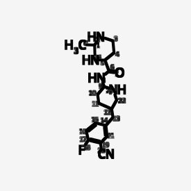 CC1NCCC(C(=O)NC2CCC(Cc3ccc(F)c(C#N)c3)CN2)N1